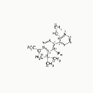 COc1ccc(-c2cccnc2OC)c(F)c1C(C)(C)C